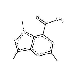 Cc1cc2c(C)nn(C)c2c(C(N)=O)n1